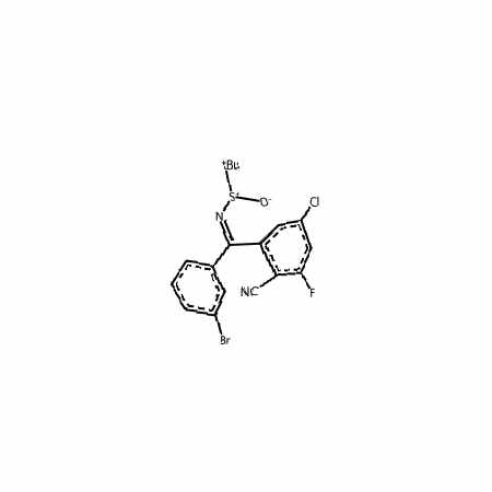 CC(C)(C)[S+]([O-])N=C(c1cccc(Br)c1)c1cc(Cl)cc(F)c1C#N